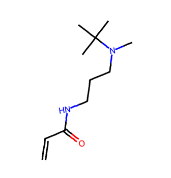 C=CC(=O)NCCCN(C)C(C)(C)C